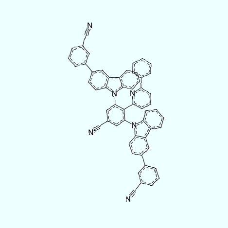 N#Cc1cccc(-c2ccc3c(c2)c2ccccc2n3-c2cc(C#N)cc(-n3c4ccccc4c4cc(-c5cccc(C#N)c5)ccc43)c2-c2cccc(-c3ccccc3)n2)c1